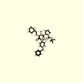 CC(C)(C)OC(=O)N1CCC[C@H]1C(=O)N[C@H](CCC1CCCCC1)C(=S)NC1CCN(Cc2ccccc2)CC1